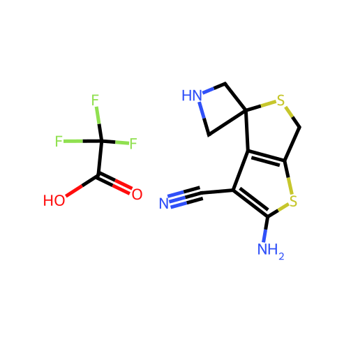 N#Cc1c(N)sc2c1C1(CNC1)SC2.O=C(O)C(F)(F)F